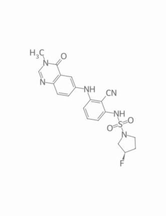 Cn1cnc2ccc(Nc3cccc(NS(=O)(=O)N4CC[C@@H](F)C4)c3C#N)cc2c1=O